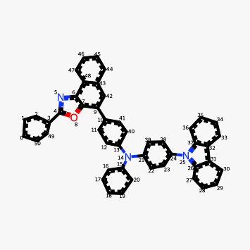 c1ccc(-c2nc3c(o2)c(-c2ccc(N(c4ccccc4)c4ccc(-n5c6ccccc6c6ccccc65)cc4)cc2)cc2ccccc23)cc1